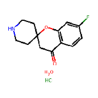 Cl.O.O=C1CC2(CCNCC2)Oc2cc(F)ccc21